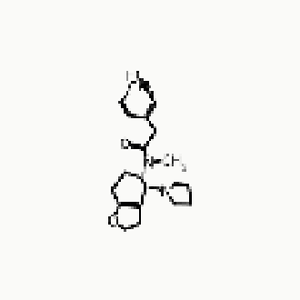 C#C/C=C(\C=C/C)CC(=O)N(C)[C@H]1CCC2=C(CCO2)[C@@H]1N1CCCC1